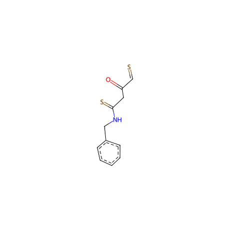 O=C(C=S)CC(=S)NCc1ccccc1